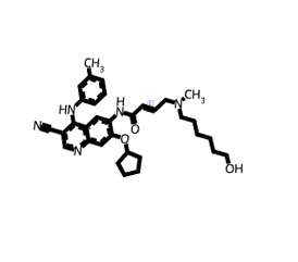 Cc1cccc(Nc2c(C#N)cnc3cc(OC4CCCC4)c(NC(=O)/C=C/CN(C)CCCCCCO)cc23)c1